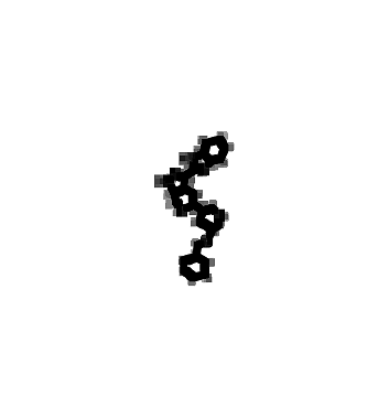 c1ccc(COc2cncc(-c3cc4c(-c5nc6ccccc6[nH]5)n[nH]c4cn3)c2)cc1